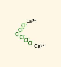 [Ce+3].[Cl-].[Cl-].[Cl-].[Cl-].[Cl-].[Cl-].[La+3]